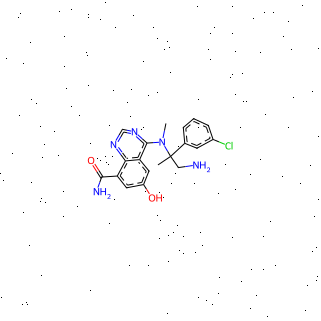 CN(c1ncnc2c(C(N)=O)cc(O)cc12)C(C)(CN)c1cccc(Cl)c1